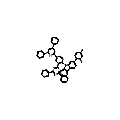 Cc1ccc(-c2ccc3c4ccccc4n(-c4ccc(-c5nc(-c6ccccc6)cc(-c6ccccc6)n5)cc4-c4nc(-c5ccccc5)nc(-c5ccccc5)n4)c3c2)c(C)c1